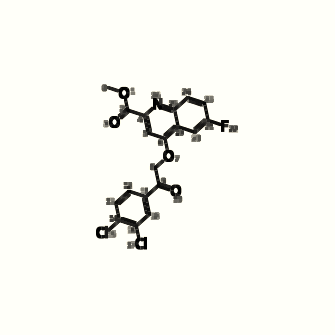 COC(=O)c1cc(OCC(=O)c2ccc(Cl)c(Cl)c2)c2cc(F)ccc2n1